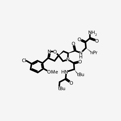 CCC[C@H](NC(=O)[C@@H]1C[C@]2(CC(c3cc(Cl)ccc3OC)=NO2)CN1C(=O)[C@@H](NC(=O)CC(C)(C)C)C(C)(C)C)C(=O)C(N)=O